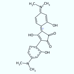 CN(C)c1ccc(C2=C(O)/C(=C3\C=CC(=[N+](C)C)C=C3O)C(=O)C2=O)c(O)c1